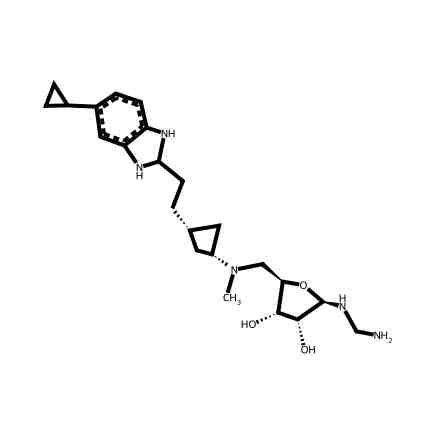 CN(C[C@H]1O[C@@H](NCN)[C@H](O)[C@@H]1O)[C@H]1C[C@@H](CCC2Nc3ccc(C4CC4)cc3N2)C1